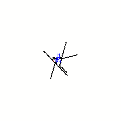 [CH2]c1ccc(-c2nc(Nc3cc(CCCCCCCCCCCCCCCCC)c(CCCCCCCCCCCCCCCCC)c(CCCCCCCCCCCCCCCCC)c3)nc(Nc3cc(CCCCCCCCCCCCCCCCC)c(CCCCCCCCCCCCCCCCC)c(CCCCCCCCCCCCCCCCC)c3)n2)cc1